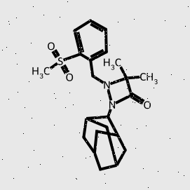 CC1(C)C(=O)N(C2C3CC4CC(C3)CC2C4)N1Cc1ccccc1S(C)(=O)=O